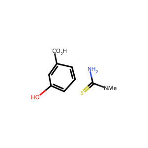 CNC(N)=S.O=C(O)c1cccc(O)c1